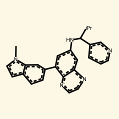 CC(C)C(Nc1cc(-c2ccc3ccn(C)c3c2)c2nccnc2c1)c1cccnc1